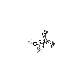 CC(=O)OCN(C(=O)Nc1nc(OCC(F)(F)F)cc(OCC(F)(F)F)n1)c1ccc(C(F)(F)F)cc1